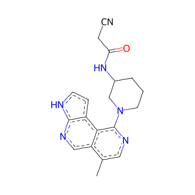 Cc1cnc(N2CCCC(NC(=O)CC#N)C2)c2c1cnc1[nH]ccc12